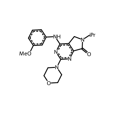 COc1cccc(Nc2nc(N3CCOCC3)nc3c2CN(C(C)C)C3=O)c1